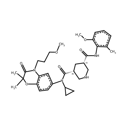 COCCCN1C(=O)C(C)(C)Oc2ccc(N(C(=O)[C@H]3CNC[C@@H](C(=O)Nc4c(C)cccc4OC)C3)C3CC3)cc21